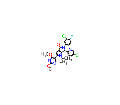 COc1ncc(-c2cc3c(n2C(C)C)C(c2ccc(Cl)cn2)N(c2ccc(F)c(Cl)c2)C3=O)c(OC)n1